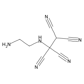 N#CC(C#N)C(C#N)(C#N)NCCN